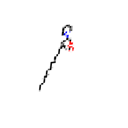 CCCCCCCCCCCCC(=C=O)CC([C]=O)N1CCCCC1